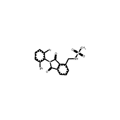 CC(C)c1cccc(C(C)C)c1N1C(=O)c2cccc(CNS(C)(=O)=O)c2C1=O